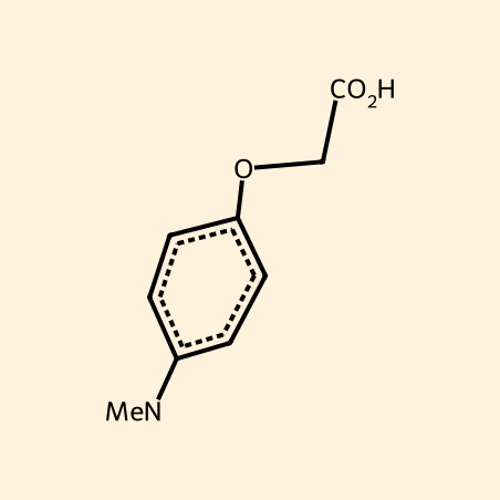 CNc1ccc(OCC(=O)O)cc1